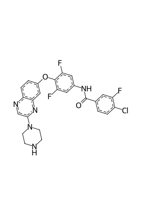 O=C(Nc1cc(F)c(Oc2ccc3ncc(N4CCNCC4)nc3c2)c(F)c1)c1ccc(Cl)c(F)c1